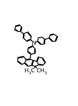 CC1(C)c2ccccc2-c2c1cc1ccccc1c2-c1ccc(N(C2=CC=C(c3ccccc3)CC2)c2ccc(-c3ccccc3)cc2)cc1